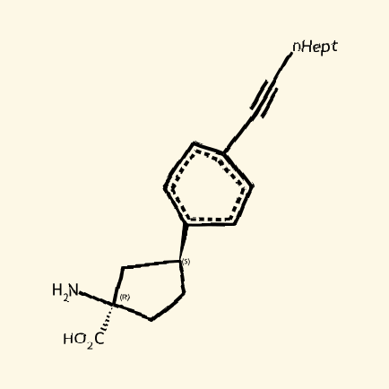 CCCCCCCC#Cc1ccc([C@H]2CC[C@](N)(C(=O)O)C2)cc1